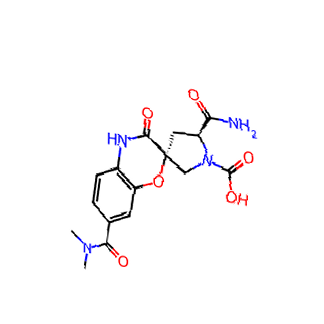 CN(C)C(=O)c1ccc2c(c1)O[C@@]1(C[C@@H](C(N)=O)N(C(=O)O)C1)C(=O)N2